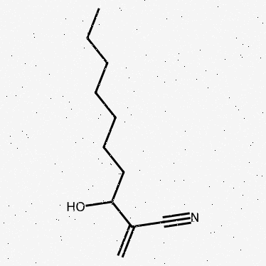 C=C(C#N)C(O)CCCCCCC